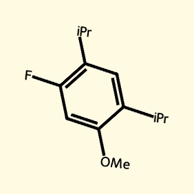 COc1cc(F)c(C(C)C)cc1C(C)C